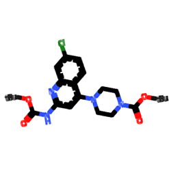 CC(C)(C)OC(=O)Nc1cc(N2CCN(C(=O)OC(C)(C)C)CC2)c2ccc(Cl)cc2n1